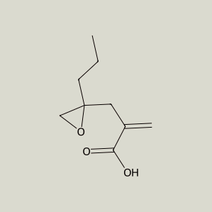 C=C(CC1(CCC)CO1)C(=O)O